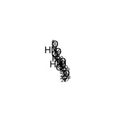 COCCNC(=O)Oc1ccc(C(=O)NS(=O)(=O)c2ccc(Oc3ccccc3)cc2)cn1